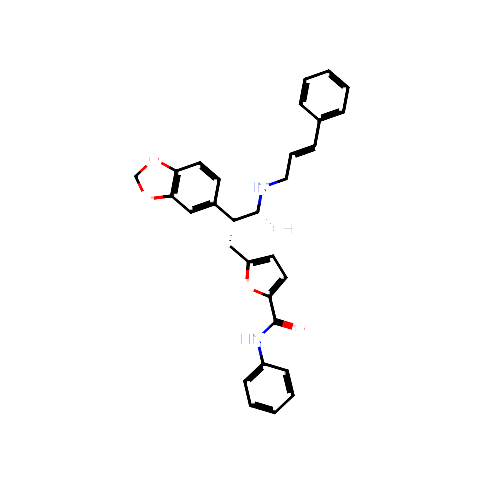 C[C@@H](NC/C=C/c1ccccc1)[C@H](Cc1ccc(C(=O)Nc2ccccc2)o1)c1ccc2c(c1)OCO2